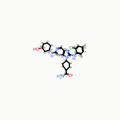 NC(=O)C1CCC(n2c(Nc3c(F)cc(F)cc3Cl)nc3cnc(N[C@H]4CCC[C@H](O)C4)nc32)CC1